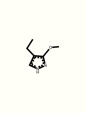 CCc1c[nH]nc1OC